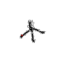 COC(=O)CNC(=O)c1cc(OCCOCCOCCN=[N+]=[N-])c(OCCOCCOCCN=[N+]=[N-])c(OCCOCCOCCN=[N+]=[N-])c1